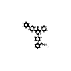 NCc1ccccc1N1CCN(c2nc(N3CCOCC3)c(F)c(N3CCN(c4ccccc4)CC3)n2)CC1